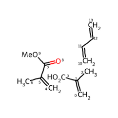 C=C(C)C(=O)O.C=C(C)C(=O)OC.C=CC=C